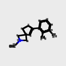 Cc1c(C2=CC3(CC2)CN(C=O)C3)cccc1C(F)(F)F